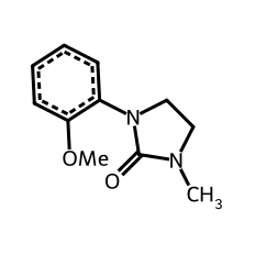 COc1ccccc1N1CCN(C)C1=O